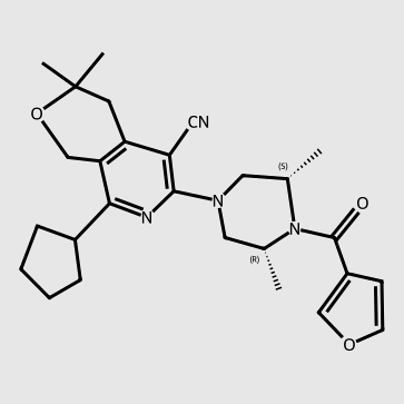 C[C@@H]1CN(c2nc(C3CCCC3)c3c(c2C#N)CC(C)(C)OC3)C[C@H](C)N1C(=O)c1ccoc1